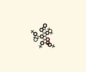 CC(C)(C)c1ccc(N2c3cc(N4c5ccc(C(C)(C)C)cc5C5(C)CCCCC45C)cc4c3B(c3cc5c(cc3N4c3cccc4c3sc3ccccc34)C(C)(C)CCC5(C)C)c3ccc4c(sc5ccc(C(C)(C)C)cc54)c32)c(-c2ccccc2)c1